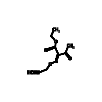 C#CCON=C(C(C)=O)C(=O)OCC